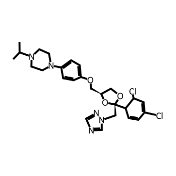 CC(C)N1CCN(c2ccc(OC[C@H]3CO[C@](Cn4cncn4)(C4C=CC(Cl)=CC4Cl)O3)cc2)CC1